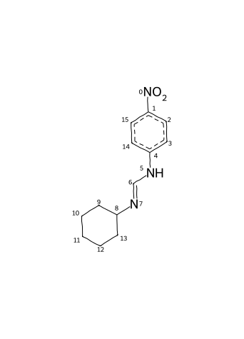 O=[N+]([O-])c1ccc(NC=NC2CCCCC2)cc1